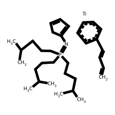 C=CC=Cc1ccccc1.CC(C)CCCP(CCCC(C)C)(CCCC(C)C)=NC1=CC=CC1.[Ti]